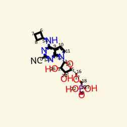 N#Cc1nc(NC2CCC2)c2ccn([C@@H]3O[C@H](COCP(=O)(O)O)[C@@H](O)[C@H]3O)c2n1